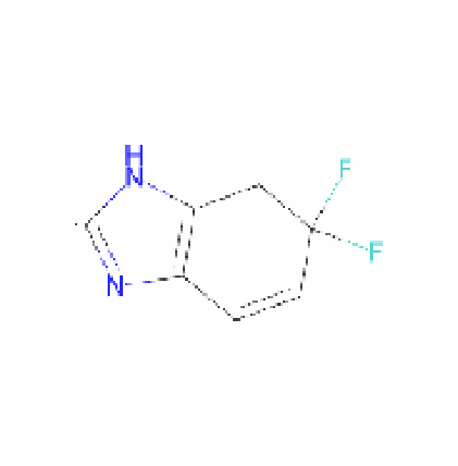 FC1(F)C=Cc2n[c][nH]c2C1